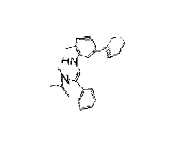 C=C(C)N(C)/C(=C\Nc1cc(-c2ccccc2)ccc1C)c1ccccc1